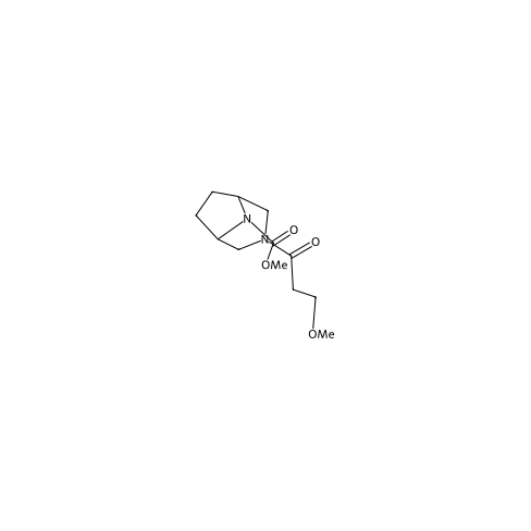 COCCC(=O)N1CC2CCC(C1)N2C(=O)OC